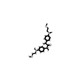 COCCN(C)c1ccc(C(C)C(=O)C(C)c2ccc(N(C)CCOC)cc2)cc1